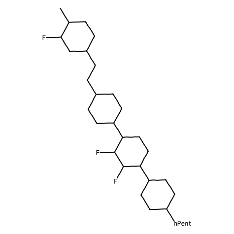 CCCCCC1CCC(C2CCC(C3CCC(CCC4CCC(C)C(F)C4)CC3)C(F)C2F)CC1